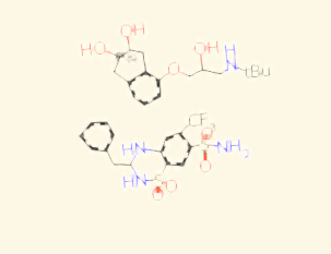 CC(C)(C)NCC(O)COc1cccc2c1C[C@H](O)[C@H](O)C2.NS(=O)(=O)c1cc2c(cc1C(F)(F)F)NC(Cc1ccccc1)NS2(=O)=O